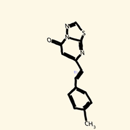 Cc1ccc(/C=C/c2cc(=O)n3ncsc3n2)cc1